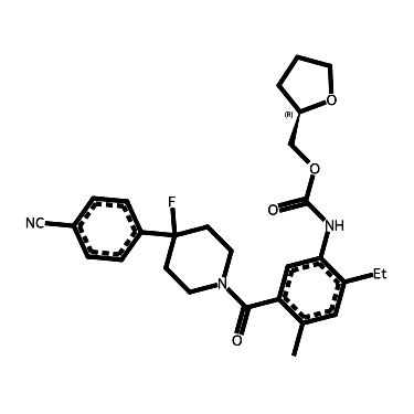 CCc1cc(C)c(C(=O)N2CCC(F)(c3ccc(C#N)cc3)CC2)cc1NC(=O)OC[C@H]1CCCO1